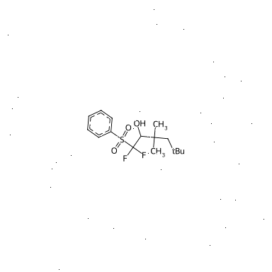 CC(C)(C)CC(C)(C)C(O)C(F)(F)S(=O)(=O)c1ccccc1